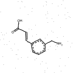 NCc1[c]ccc(C=CC(=O)O)c1